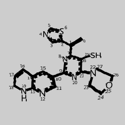 C=C(c1cncs1)c1nc(-c2cnc3c(c2)C=CCN3)nc(N2CCOCC2)c1S